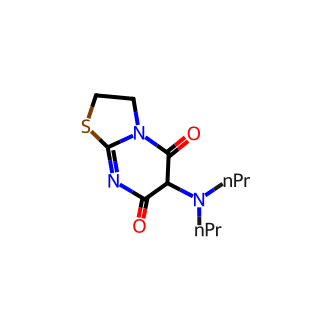 CCCN(CCC)C1C(=O)N=C2SCCN2C1=O